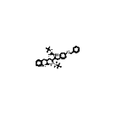 CC(C)(C)OC(=O)NC(Cc1ccc(OCc2ccccc2)cc1)C(CC(Cc1ccccc1)C(=O)O)O[Si](C)(C)C(C)(C)C